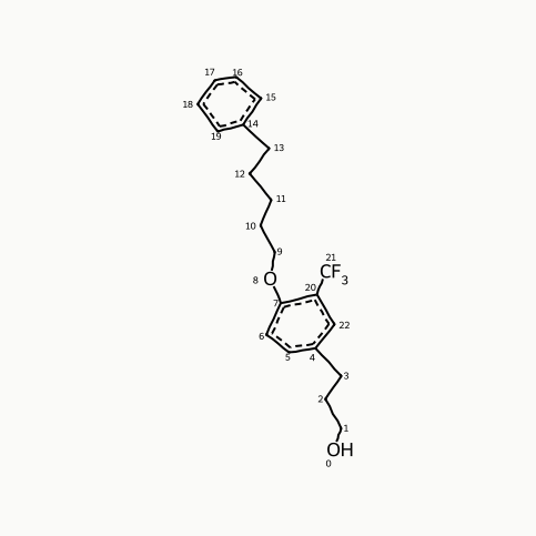 OCCCc1ccc(OCCCCCc2ccccc2)c(C(F)(F)F)c1